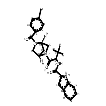 Cc1ccc(C(=O)N2C[C@@H]3C[C@H]2CN3C(=O)C(NC(=O)c2cc3ccccc3[nH]2)C(C)(C)C)cc1